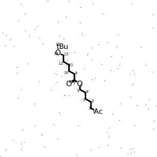 CC(=O)CCCCCOC(=O)CCCCCOC(C)(C)C